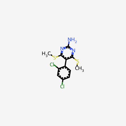 CSc1nc(N)nc(SC)c1-c1ccc(Cl)cc1Cl